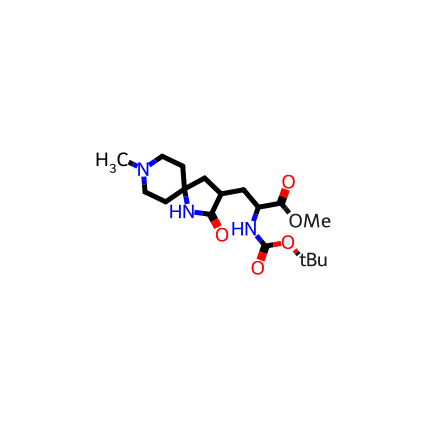 COC(=O)C(CC1CC2(CCN(C)CC2)NC1=O)NC(=O)OC(C)(C)C